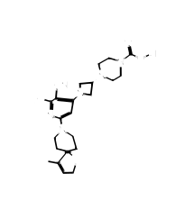 CC1=CCOC12CCN(c1cc(N3C[C@@H](N4CCN(C(=O)OC(C)(C)C)CC4)[C@H]3C)c(C#N)c(C(F)(F)F)n1)CC2